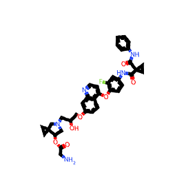 NCC(=O)OC1CN(CC(O)COc2ccc3c(Oc4ccc(NC(=O)C5(C(=O)Nc6ccccc6)CC5)cc4F)ccnc3c2)CC12CC2